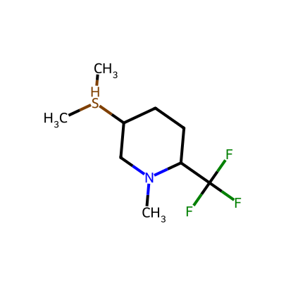 CN1CC([SH](C)C)CCC1C(F)(F)F